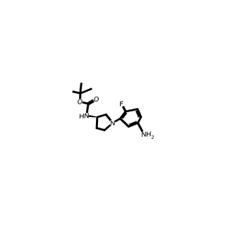 CC(C)(C)OC(=O)N[C@@H]1CCN(c2cc(N)ccc2F)C1